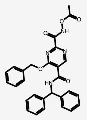 CC(=O)ONC(=O)c1ncc(C(=O)NC(c2ccccc2)c2ccccc2)c(OCc2ccccc2)n1